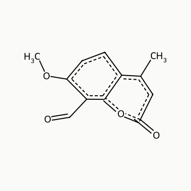 COc1ccc2c(C)cc(=O)oc2c1C=O